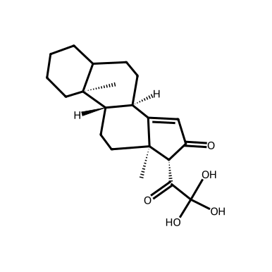 C[C@]12CC[C@H]3[C@@H](CCC4CCCC[C@@]43C)C1=CC(=O)[C@@H]2C(=O)C(O)(O)O